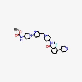 CC(C)(C)OC(=O)NC1CCN(c2ccc(CN3CCC(NC(=O)c4cccc(-c5ccncc5)c4F)CC3)cn2)CC1